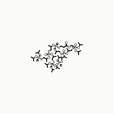 CCOC(=O)CCSP(=O)(OC(C)CSP(=O)(OC(C)CSP(=O)(OC(C)C)OC(C)C)OC(C)CSP(=O)(OC(C)C)OC(C)C)OC(C)CSP(=O)(OC(C)CSP(=O)(OC(C)C)OC(C)C)C(C)CSP(=O)(OC(C)C)OC(C)C